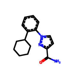 NC(=O)c1ccn(-c2ccccc2C2CCCCC2)n1